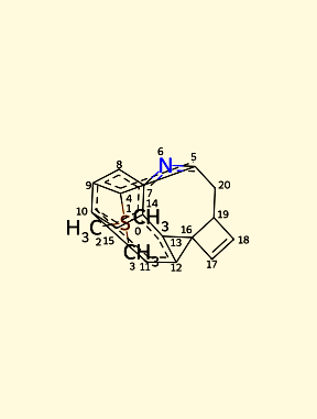 CS(C)(C)c1c2nc3cc1c1cc4c(c3c1)C41C=CC1C2